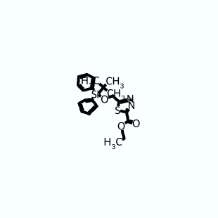 CCOC(=O)c1nnc(CO[Si](c2ccccc2)(c2ccccc2)C(C)(C)C)s1